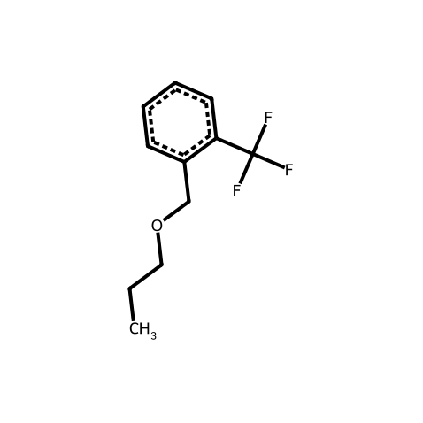 CCCOCc1ccccc1C(F)(F)F